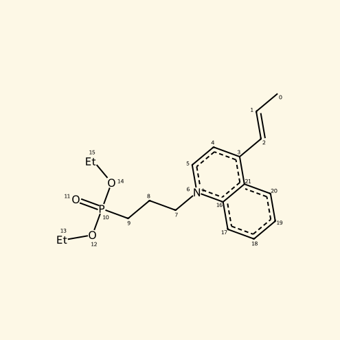 CC=Cc1cc[n+](CCCP(=O)(OCC)OCC)c2ccccc12